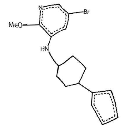 COc1ncc(Br)cc1NC1CCC(c2ccccc2)CC1